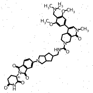 COc1cc(-c2cn(C)c(=O)c3c2CCN(C(=O)NCC2CC4CN(c5ccc6c(c5)C(=O)N([C@@H]5CCC(=O)NC5=O)C6=O)CC4C2)C3)cc(OC)c1CN(C)C